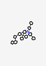 c1ccc(-c2ccc(N(c3ccc(-c4ccccc4)cc3)c3ccc4c(c3)C(c3ccccc3)(c3ccccc3)c3cc(-c5cccc(-c6cccc7ccccc67)c5)ccc3-4)cc2)cc1